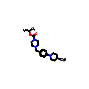 O=C(O)C1CCN(c2ccc(CN3CCN(C(=O)OC(C(F)(F)F)C(F)(F)F)CC3)cc2)CC1